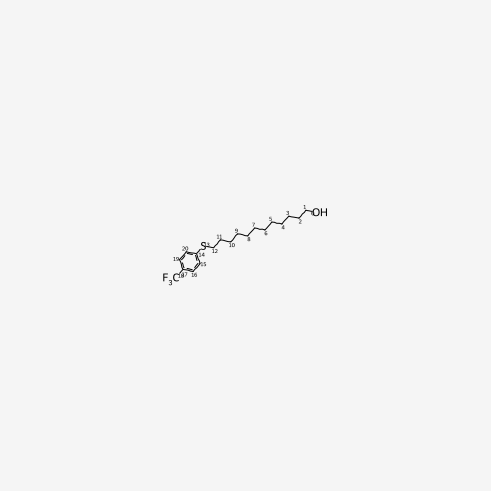 OCCCCCCCCCCCCSc1ccc(C(F)(F)F)cc1